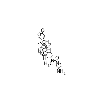 CN(C(=O)N1CCC(N)C1)[C@H]1CC[C@@]2(C)[C@H](CC[C@@H]3[C@@H]2CC[C@]2(C)[C@@H](c4ccc(=O)oc4)CC[C@]32O)C1